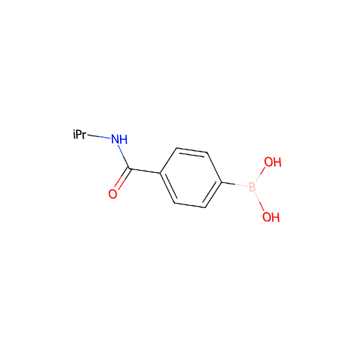 CC(C)NC(=O)c1ccc(B(O)O)cc1